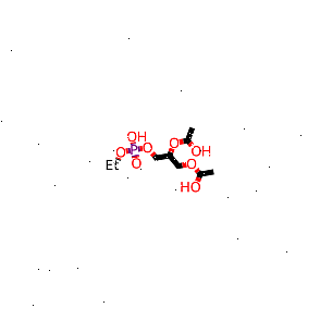 CCOP(=O)(O)OCC(COC(C)O)OC(C)O